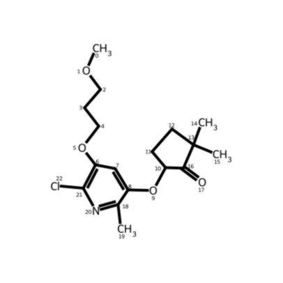 COCCCOc1cc(OC2CCC(C)(C)C2=O)c(C)nc1Cl